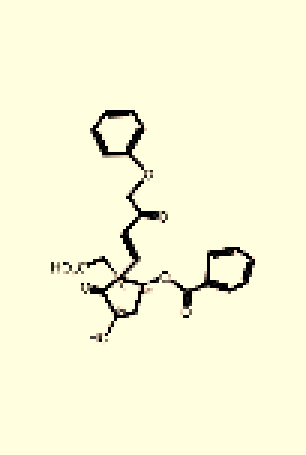 O=C(O)C[C@]1(C=CC(=O)COc2ccccc2)C(=O)[C@H](O)C[C@@H]1OC(=O)c1ccccc1